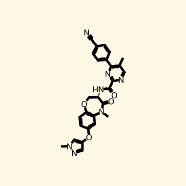 Cc1cnc(C(=O)N[C@H]2COc3ccc(Oc4cnn(C)c4)cc3N(C)C2=O)nc1-c1ccc(C#N)cc1